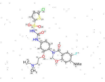 CNc1cc2c(cc1F)C(=O)N(c1ccc(NC(=O)NS(=O)(=O)c3ccc(Cl)s3)cc1OCCN(C)C)CO2